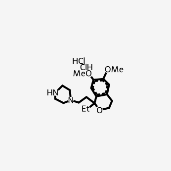 CCC1(CCN2CCNCC2)OCCc2cc(OC)c(OC)cc21.Cl.Cl